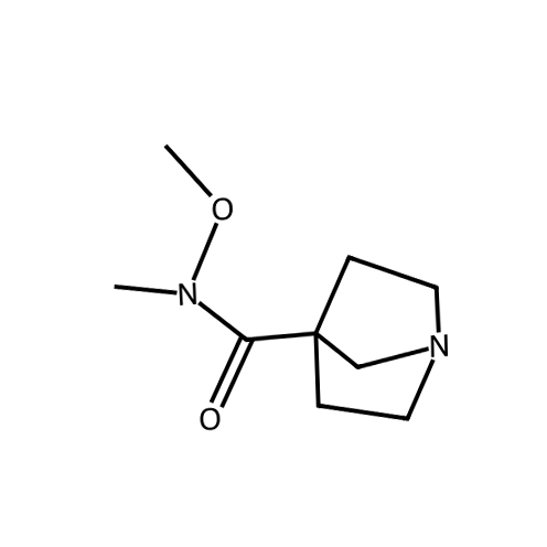 CON(C)C(=O)C12CCN(CC1)C2